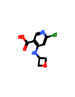 O=C(O)c1cnc(Cl)cc1NC1COC1